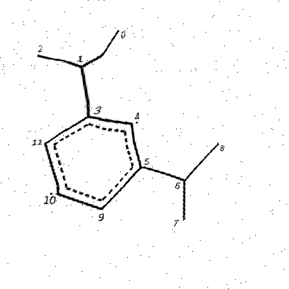 CC(C)c1[c]c(C(C)C)c[c]c1